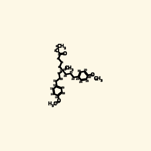 COC(=O)CCC[N+](C)(CCCc1ccc(OC)cc1)CCCc1ccc(OC)cc1